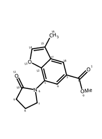 COC(=O)c1cc(N2CCCC2=O)c2occ(C)c2c1